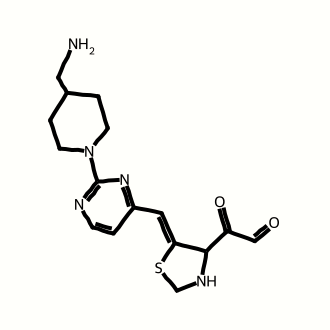 NCC1CCN(c2nccc(/C=C3\SCNC3C(=O)C=O)n2)CC1